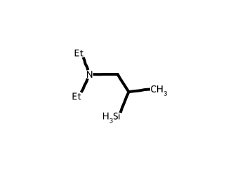 CCN(CC)CC(C)[SiH3]